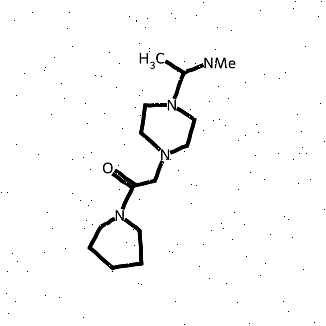 CNC(C)N1CCN(CC(=O)N2CC[CH]CC2)CC1